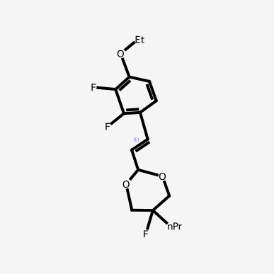 CCCC1(F)COC(/C=C/c2ccc(OCC)c(F)c2F)OC1